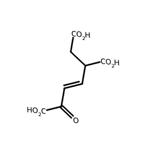 O=C(O)CC(/C=C/C(=O)C(=O)O)C(=O)O